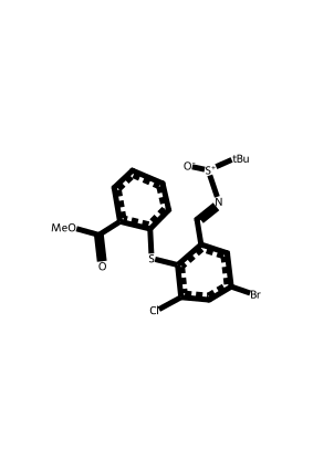 COC(=O)c1ccccc1Sc1c(Cl)cc(Br)cc1/C=N/[S+]([O-])C(C)(C)C